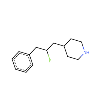 FC(Cc1ccccc1)CC1CCNCC1